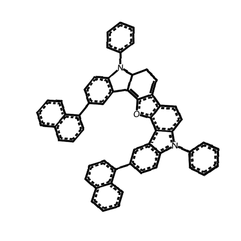 C1=c2c(oc3c2ccc2c3c3cc(-c4cccc5ccccc45)ccc3n2-c2ccccc2)=C2c3cc(-c4cccc5ccccc45)ccc3N(c3ccccc3)C2C1